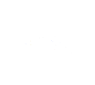 NS(=O)(=O)c1ccc(N2C(=O)CN(c3ccccc3)C2=O)c(Cl)c1